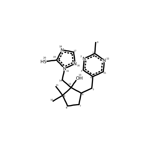 Cc1ncc(CC2CCC(C)(C)C2(O)Cn2ncnc2S)cn1